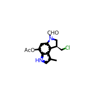 CC(=O)Oc1cc2c(c3c(C)c[nH]c13)[C@H](CCl)CN2C=O